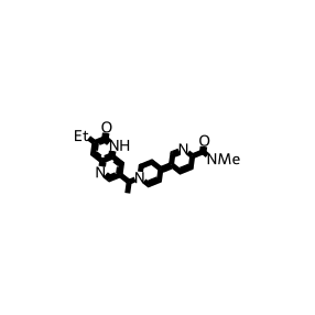 CCc1cc2ncc(C(C)N3C=CC(=C4C=CC(C(=O)NC)N=C4)CC3)cc2[nH]c1=O